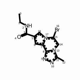 CCNC(=O)c1cc2c3nnc(C)n3cc(Br)n2c1